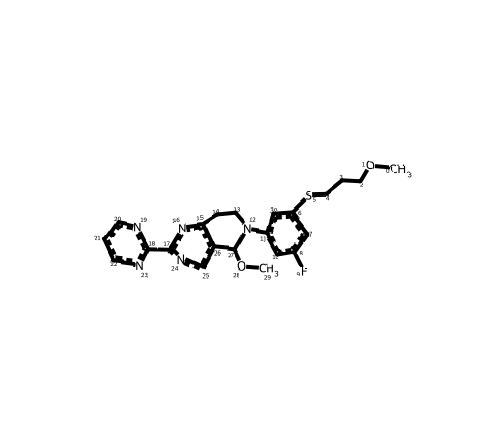 COCCCSc1cc(F)cc(N2CCc3nc(-c4ncccn4)ncc3C2OC)c1